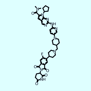 CN(C)C(=O)c1cc2cnc(Nc3ccc(N4CCC(CN5CCC(c6cc7c(cc6F)C(=O)N(C6CCC(=O)NC6=O)C7=O)CC5)CC4)cn3)nc2n1C1CCCC1